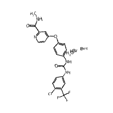 Br.Br.CNC(=O)c1cc(Oc2ccc(NC(=O)Nc3ccc(Cl)c(C(F)(F)F)c3)cc2)ccn1.O